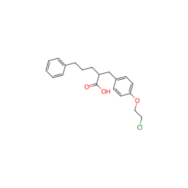 O=C(O)C(CCCc1ccccc1)Cc1ccc(OCCCl)cc1